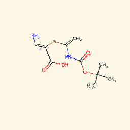 C=C(NC(=O)OC(C)(C)C)S/C(=C\N)C(=O)O